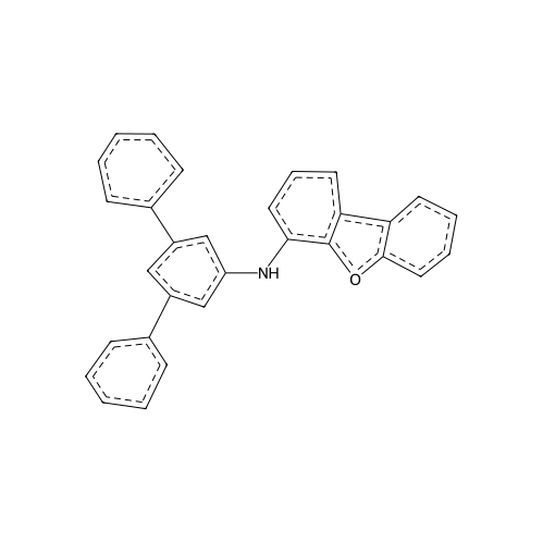 c1ccc(-c2cc(Nc3cccc4c3oc3ccccc34)cc(-c3ccccc3)c2)cc1